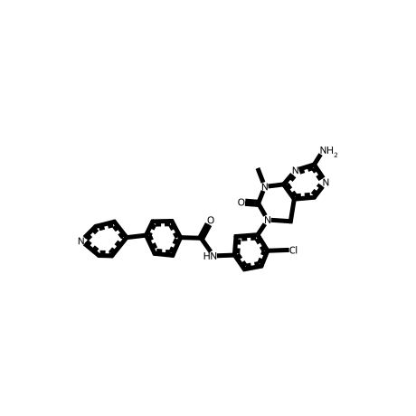 CN1C(=O)N(c2cc(NC(=O)c3ccc(-c4ccncc4)cc3)ccc2Cl)Cc2cnc(N)nc21